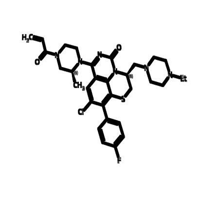 C=CC(=O)N1CCN(c2nc(=O)n3c4c(c(-c5ccc(F)cc5)c(Cl)cc24)SC[C@@H]3CN2CCN(CC)CC2)[C@@H](C)C1